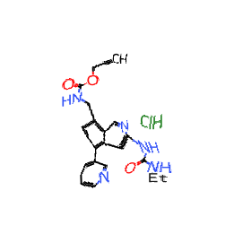 C#CCOC(=O)NCc1ccc(-c2cccnc2)c2cc(NC(=O)NCC)ncc12.Cl